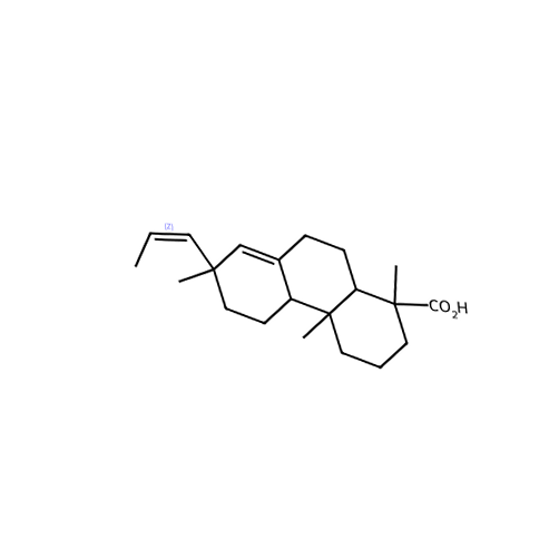 C/C=C\C1(C)C=C2CCC3C(C)(C(=O)O)CCCC3(C)C2CC1